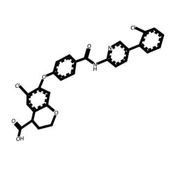 O=C(Nc1ccc(-c2ccccc2Cl)cn1)c1ccc(Oc2cc3c(cc2Cl)C(C(=O)O)CCO3)cc1